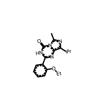 CCOc1ccccc1-c1nc2c(C(C)C)nc(C)n2c(=O)[nH]1